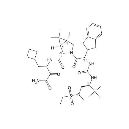 CCS(=O)(=O)N(C)C[C@@H](NC(=O)N[C@H](C(=O)N1C[C@H]2[C@@H]([C@H]1C(=O)NC(CC1CCC1)C(=O)C(N)=O)C2(C)C)C1Cc2ccccc2C1)C(C)(C)C